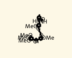 COc1cc(C2NC(=O)c3cc(C)ccc3N2)ccc1OCCCCOc1cc(C2=NOC(c3cc(OC)c(OC)c(OC)c3)C2)ccc1OC